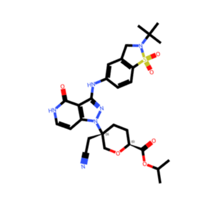 CC(C)OC(=O)[C@@H]1CC[C@@](CC#N)(n2nc(Nc3ccc4c(c3)CN(C(C)(C)C)S4(=O)=O)c3c(=O)[nH]ccc32)CO1